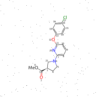 COC(=O)[C@@H]1CCN(c2cccc(Oc3ccc(Cl)cc3)n2)C1